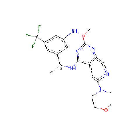 COc1nc(N[C@H](C)c2cc(N)cc(C(F)(F)F)c2)c2cc(N3CCOCC3)ncc2n1